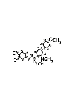 COc1ccc(-c2ccc3c(c2)N(C)CCN=C3/C=C/c2ccc(Cl)c(Cl)c2)cc1